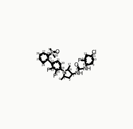 CC1CC(NC(=O)Nc2ccc(Cl)cc2F)C(C)N1c1ccc(-c2ccccc2P(C)(C)=O)c(F)c1F